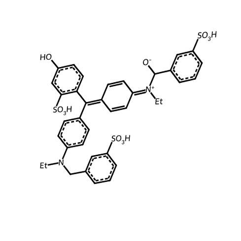 CCN(Cc1cccc(S(=O)(=O)O)c1)c1ccc(C(=C2C=CC(=[N+](CC)C([O-])c3cccc(S(=O)(=O)O)c3)C=C2)c2ccc(O)cc2S(=O)(=O)O)cc1